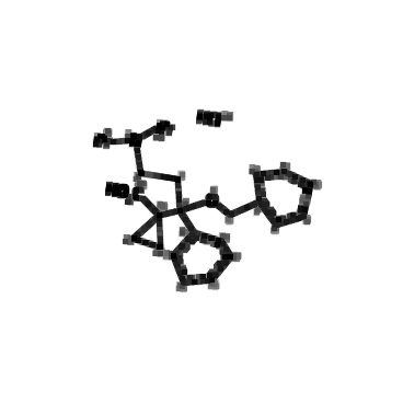 CC(C)N(CCC(OCc1ccccc1)(c1ccccc1)C1(C(=O)O)CC1)C(C)C.Cl